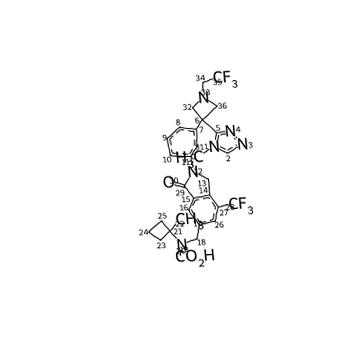 Cn1cnnc1C1(c2cccc(N3Cc4c(cc(CN(C(=O)O)C5(C)CCC5)cc4C(F)(F)F)C3=O)c2)CN(CC(F)(F)F)C1